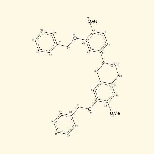 COc1ccc(C2Cc3cc(OCc4ccccc4)c(OC)cc3CN2)cc1OCc1ccccc1